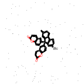 Cc1ccc2c(c1)C(c1ccc3oc(=O)ccc3c1)(c1ccc3oc(=O)ccc3c1)c1cc(C(C)(C)C)ccc1-2